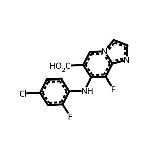 O=C(O)c1cn2ccnc2c(F)c1Nc1ccc(Cl)cc1F